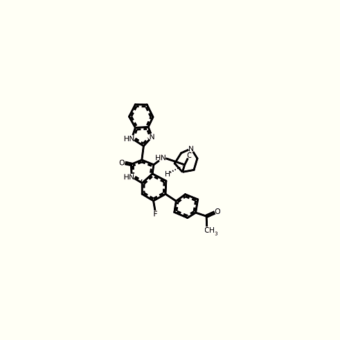 CC(=O)c1ccc(-c2cc3c(N[C@H]4CN5CCC4CC5)c(-c4nc5ccccc5[nH]4)c(=O)[nH]c3cc2F)cc1